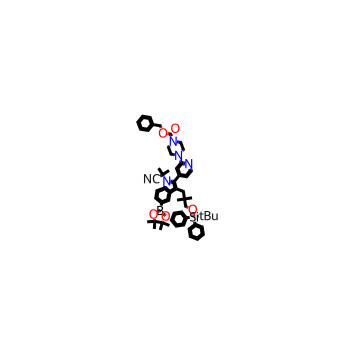 CC(C)(CO[Si](c1ccccc1)(c1ccccc1)C(C)(C)C)Cc1c(-c2ccnc(N3CCN(C(=O)OCc4ccccc4)CC3)c2)n(C(C)(C)C#N)c2ccc(B3OC(C)(C)C(C)(C)O3)cc12